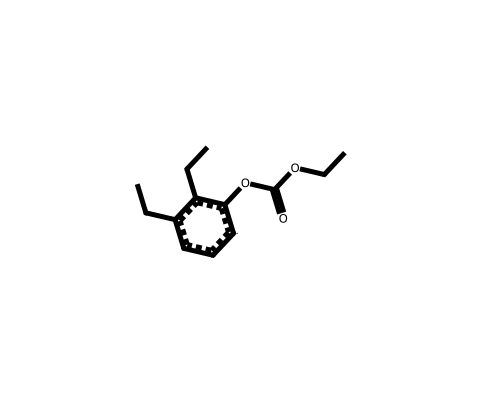 CCOC(=O)Oc1[c]ccc(CC)c1CC